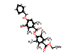 COCOC(=O)c1c(C)c(C)c(OC(=O)c2c(C)cc(OCc3ccccc3)c(Br)c2C)c(C)c1C